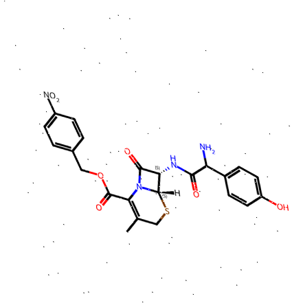 CC1=C(C(=O)OCc2ccc([N+](=O)[O-])cc2)N2C(=O)[C@H](NC(=O)C(N)c3ccc(O)cc3)[C@@H]2SC1